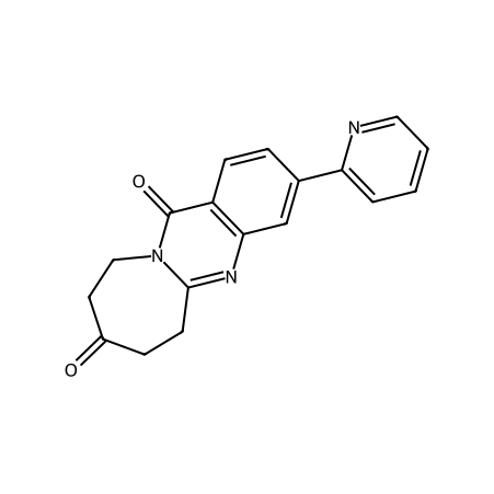 O=C1CCc2nc3cc(-c4ccccn4)ccc3c(=O)n2CC1